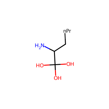 CCCCC(N)C(O)(O)O